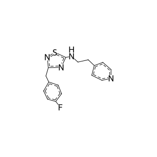 Fc1ccc(Cc2nsc(NCCc3ccncc3)n2)cc1